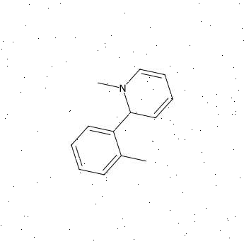 Cc1ccccc1C1C=CC=CN1C